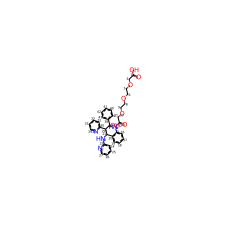 O=C(O)COCCOCCOCC(=O)Nc1ccccc1C(Nc1ccccn1)C(c1ccccn1)C(O)c1ccccc1